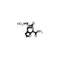 NC(=O)C1c2sccc2C2CN1C(=O)N2OS(=O)(=O)O